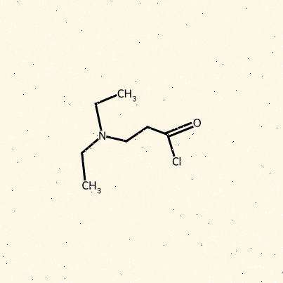 CCN(CC)CCC(=O)Cl